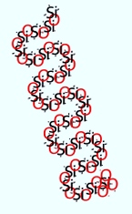 CO[Si](OC)(OC)O[Si](C)(C)O[Si](C)(C)O[Si](C)(C)O[Si](C)(C)O[Si](C)(C)O[Si](C)(C)O[Si](C)(C)O[Si](C)(C)O[Si](C)(C)O[Si](C)(C)O[Si](C)(C)O[Si](C)(C)O[Si](C)(C)O[Si](C)(C)O[Si](C)(C)O[Si](C)(C)O[Si](C)(C)O[Si](C)(C)O[Si](C)(C)O[Si](C)(C)O[Si](C)(C)O[Si](C)(C)O[Si](C)(C)O[Si](C)(C)O[Si](C)(C)O[Si](C)(C)O[Si](C)(C)O[Si](C)(C)O[Si](C)(C)O[Si](C)(C)O[Si](C)(C)C